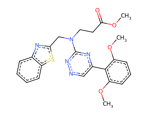 COC(=O)CCN(Cc1nc2ccccc2s1)c1nncc(-c2c(OC)cccc2OC)n1